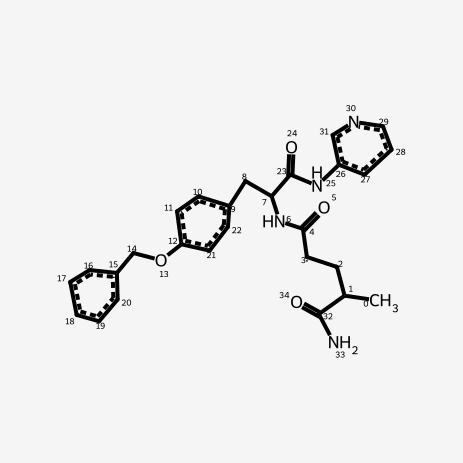 CC(C[CH]C(=O)NC(Cc1ccc(OCc2ccccc2)cc1)C(=O)Nc1cccnc1)C(N)=O